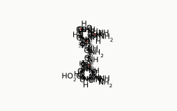 N=C(N)NCCC[C@@H]1NC(=O)CNC(=O)[C@@H](CC(=O)O)NC(=O)[C@@H](Cc2ccccc2)NC(=O)C(CCCCNC(=O)[C@@H](N)CCC(=O)NCCCC[C@H]2NC(=O)[C@H](CCCNC(=N)N)NC(=O)CNC(=O)[C@@H](CC(=O)O)NC(=O)[C@@H](Cc3ccccc3)NC2=O)NC1=O